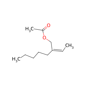 CC=C(CCCCC)COC(C)=O